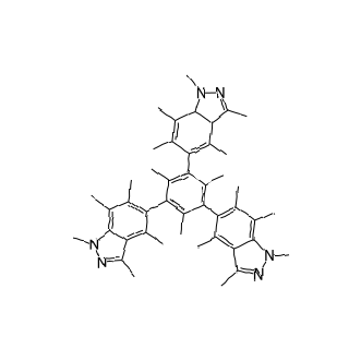 CC1=NN(C)C2C(C)=C(C)C(c3c(C)c(-c4c(C)c(C)c5c(c(C)nn5C)c4C)c(C)c(-c4c(C)c(C)c5c(c(C)nn5C)c4C)c3C)=C(C)C12